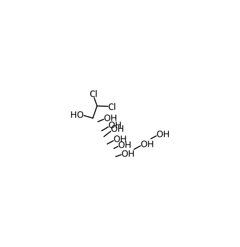 CO.CO.CO.CO.CO.CO.CO.CO.OCC(Cl)Cl